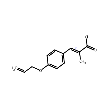 C=CCOc1ccc(/C=C(\C)C(=O)Cl)cc1